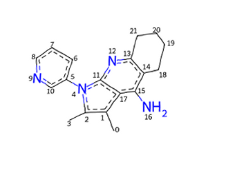 Cc1c(C)n(-c2cccnc2)c2nc3c(c(N)c12)CCCC3